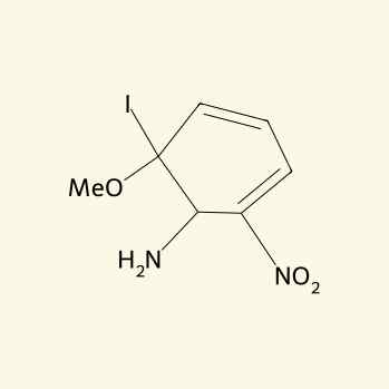 COC1(I)C=CC=C([N+](=O)[O-])C1N